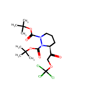 CC(C)(C)OC(=O)N1CCC[C@@H](C(=O)COC(Cl)(Cl)Cl)N1C(=O)OC(C)(C)C